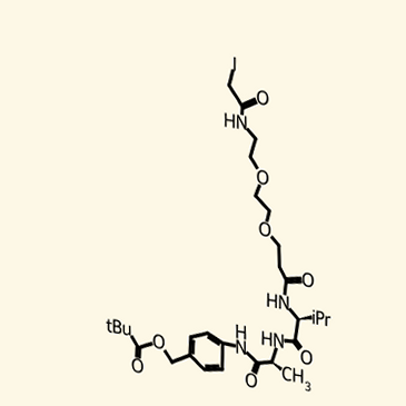 CC(C)[C@H](NC(=O)CCOCCOCCNC(=O)CI)C(=O)N[C@@H](C)C(=O)Nc1ccc(COC(=O)C(C)(C)C)cc1